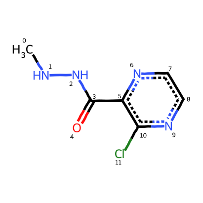 CNNC(=O)c1nccnc1Cl